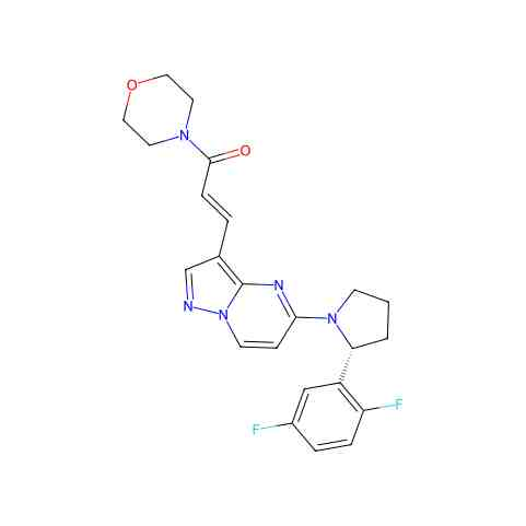 O=C(C=Cc1cnn2ccc(N3CCC[C@@H]3c3cc(F)ccc3F)nc12)N1CCOCC1